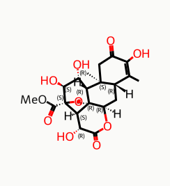 COC(=O)[C@@]12OC[C@]34[C@H]([C@@H](O)[C@@H]1O)[C@@]1(C)CC(=O)C(O)=C(C)[C@@H]1C[C@H]3OC(=O)[C@H](O)[C@@H]24